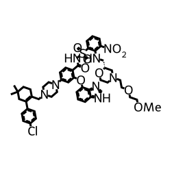 COCCOCCN1CCO[C@H](CNc2c([N+](=O)[O-])cccc2S(=O)(=O)NC(=O)c2ccc(N3CCN(CC4=C(c5ccc(Cl)cc5)CC(C)(C)CC4)CC3)cc2Oc2cccc3[nH]cnc23)C1